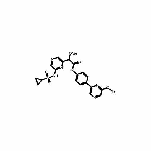 CCOc1cncc(-c2ccc(NC(=O)C(OC)c3cncc(NS(=O)(=O)C4CC4)n3)cc2)n1